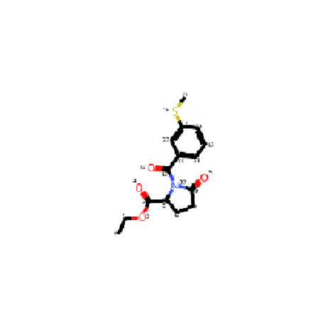 CCOC(=O)C1CCC(=O)N1C(=O)c1cccc(SC)c1